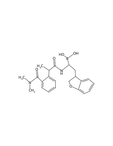 CC(C(=O)NC(CC1COc2ccccc21)B(O)O)c1ccccc1C(=O)N(C)C